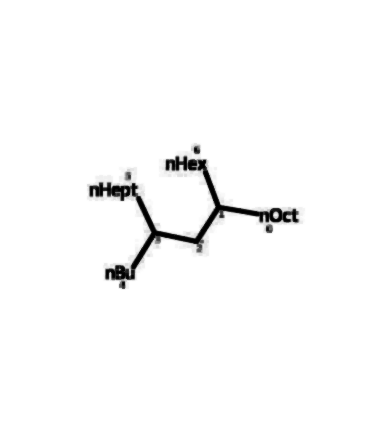 CCCCCCCCC([CH]C(CCCC)CCCCCCC)CCCCCC